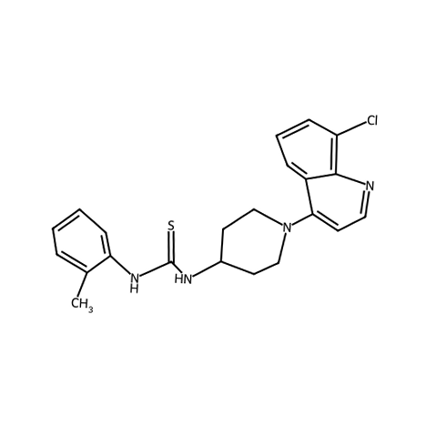 Cc1ccccc1NC(=S)NC1CCN(c2ccnc3c(Cl)cccc23)CC1